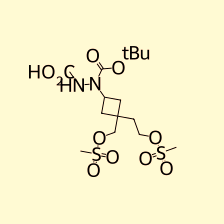 CC(C)(C)OC(=O)N(NC(=O)O)C1CC(CCOS(C)(=O)=O)(COS(C)(=O)=O)C1